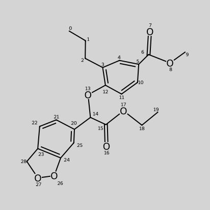 CCCc1cc(C(=O)OC)ccc1OC(C(=O)OCC)c1ccc2c(c1)OOC2